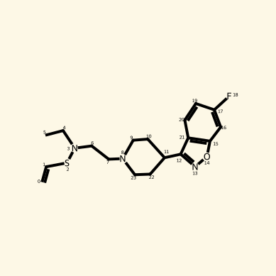 C=CSN(CC)CCN1CCC(c2noc3cc(F)ccc23)CC1